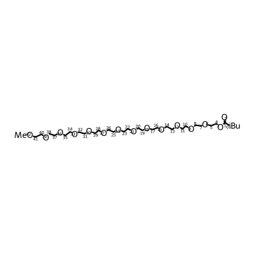 CCC(C)C(=O)OCCOCCOCCOCCOCCOCCOCCOCCOCCOCCOCCOCCOCCOC